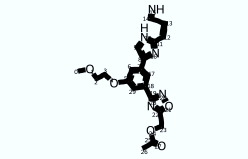 COCCOc1cc(-c2c[nH]c(/C=C\C=N)n2)cc(-c2noc(COC(C)=O)n2)c1